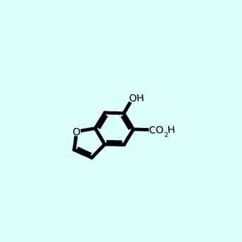 O=C(O)c1cc2ccoc2cc1O